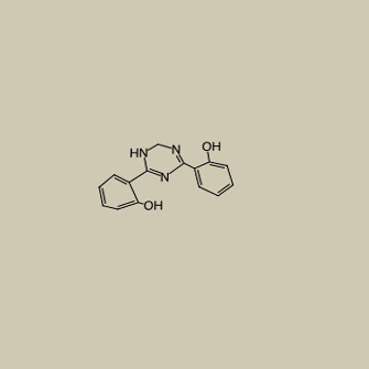 Oc1ccccc1C1=NCNC(c2ccccc2O)=N1